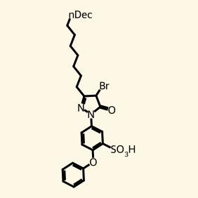 CCCCCCCCCCCCCCCCCC1=NN(c2ccc(Oc3ccccc3)c(S(=O)(=O)O)c2)C(=O)C1Br